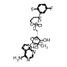 C[C@@]1(O)[C@H](O)[C@@H](CO[P@@]2(=O)OCC[C@@H](c3cc(F)ccc3F)O2)O[C@H]1n1ccc2c(N)ncnc21